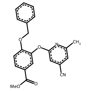 COC(=O)c1ccc(OCc2ccccc2)c(Oc2cc(C#N)cc(C)n2)c1